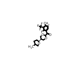 Cc1ccc(C(=O)C2OCC([C@@H]3CCC(C)CO3)CO2)c(F)c1C(F)(F)F